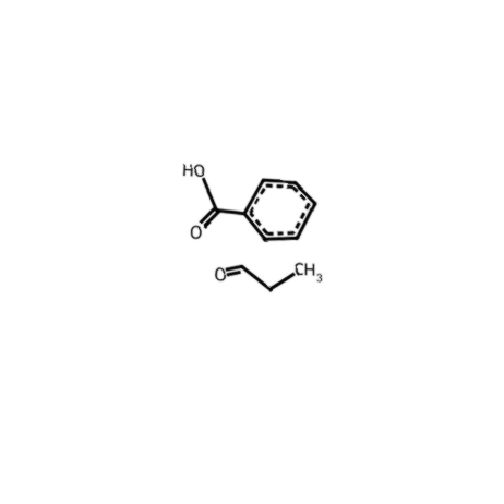 CCC=O.O=C(O)c1ccccc1